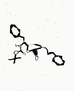 CC(C)(C)OC(=O)N[C@@H](Cc1ccccc1)[C@@H]1C[C@@H](CC=Cc2ccccc2)C(=O)O1